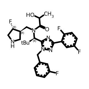 CC(O)C(=O)N(C[C@H]1CNC[C@@H]1F)[C@@H](c1nc(-c2cc(F)ccc2F)nn1Cc1cccc(F)c1)C(C)(C)C